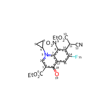 CCOC(=O)c1cn(C2CC2)c2c([N+](=O)[O-])c(C(C#N)C(=O)OCC)c(F)cc2c1=O